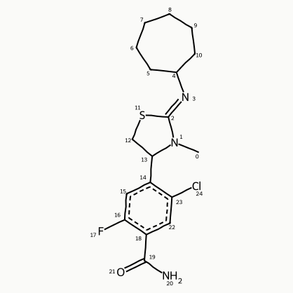 CN1C(=NC2CCCCCC2)SCC1c1cc(F)c(C(N)=O)cc1Cl